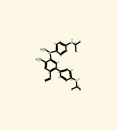 C=Cc1cc(N)c(N(N)c2ccc(OC(C)C)cc2)cc1-c1ccc(OC(C)C)cc1